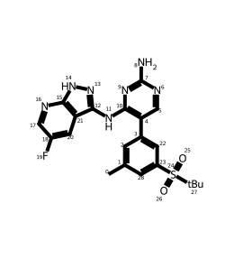 Cc1cc(-c2cnc(N)nc2Nc2n[nH]c3ncc(F)cc23)cc(S(=O)(=O)C(C)(C)C)c1